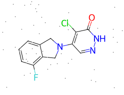 O=c1[nH]ncc(N2Cc3cccc(F)c3C2)c1Cl